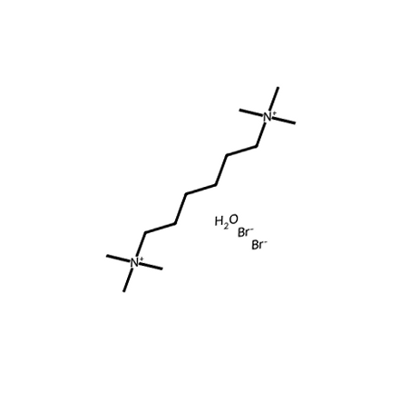 C[N+](C)(C)CCCCCC[N+](C)(C)C.O.[Br-].[Br-]